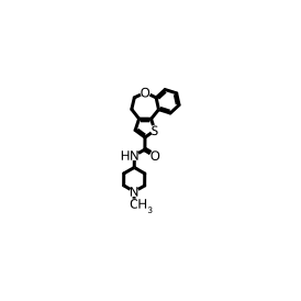 CN1CCC(NC(=O)c2cc3c(s2)-c2ccccc2OCC3)CC1